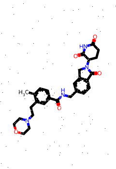 Cc1ccc(C(=O)NCc2ccc3c(c2)CN(C2CCC(=O)NC2=O)C3=O)cc1CCN1CCOCC1